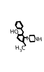 CCc1ccc(O)c(Cc2ccccc2)c1N1CCNCC1